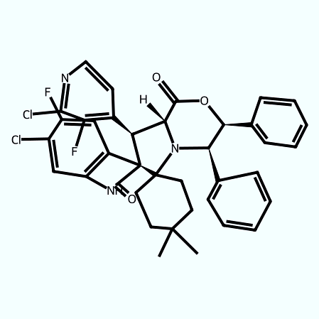 CC1(C)CCC2(CC1)N1[C@H](c3ccccc3)[C@H](c3ccccc3)OC(=O)[C@H]1[C@H](c1ccnc(Cl)c1F)[C@@]21C(=O)Nc2cc(Cl)c(F)cc21